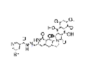 COC1=CC(=O)c2c(O)c3c(c(O)c2C1=O)C(=O)[C@]1(CCc2cc4cc(/C=N/NC(=O)c5cncc(Br)c5)[nH]c(=O)c4c(O)c21)C3=O